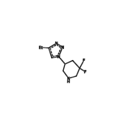 CCc1cn(C2CNCC(F)(F)C2)nn1